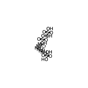 N.N.N.N.N.N.O=S(=O)(O)O.O=S(=O)(O)O.O=S(=O)(O)O